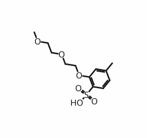 COCCOCCOc1cc(C)ccc1S(=O)(=O)O